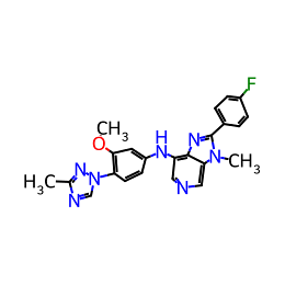 COc1cc(Nc2cncc3c2nc(-c2ccc(F)cc2)n3C)ccc1-n1cnc(C)n1